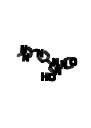 Cc1ncc(CN2CCC(c3cc(O)nc(N4CCOCC4)n3)CC2)cn1